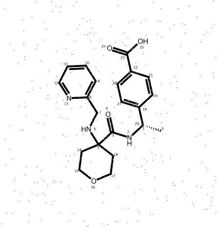 C[C@H](NC(=O)C1(NCc2ccccn2)CCOCC1)c1ccc(C(=O)O)cc1